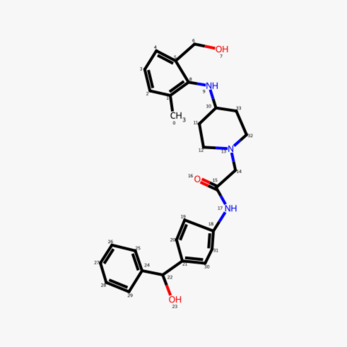 Cc1cccc(CO)c1NC1CCN(CC(=O)Nc2ccc(C(O)c3ccccc3)cc2)CC1